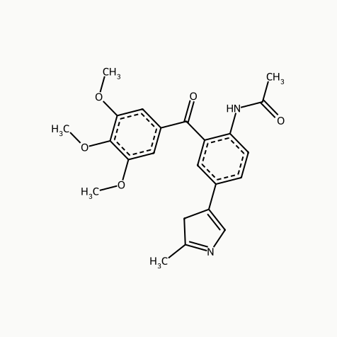 COc1cc(C(=O)c2cc(C3=CN=C(C)C3)ccc2NC(C)=O)cc(OC)c1OC